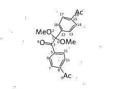 COC(OC)(C(=O)c1ccc(C(C)=O)cc1)c1ccc(C(C)=O)cc1